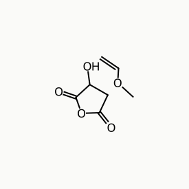 C=COC.O=C1CC(O)C(=O)O1